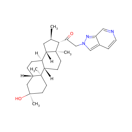 C[C@@H]1C[C@H]2[C@@H]3CC[C@H]4C[C@](C)(O)CC[C@]4(C)[C@H]3CC[C@]2(C)[C@H]1C(=O)Cn1cc2ccncc2n1